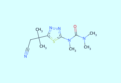 CN(C)C(=O)N(C)c1nnc(C(C)(C)CC#N)s1